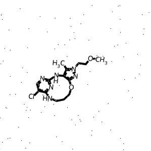 COCCn1nc2c(c1C)Nc1ncc(Cl)c(n1)NCCCO2